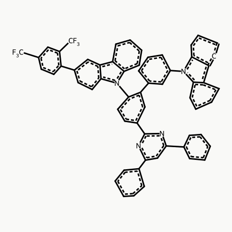 FC(F)(F)c1ccc(-c2ccc3c(c2)c2ccccc2n3-c2ccc(-c3nc(-c4ccccc4)cc(-c4ccccc4)n3)cc2-c2cccc(-n3c4ccccc4c4ccccc43)c2)c(C(F)(F)F)c1